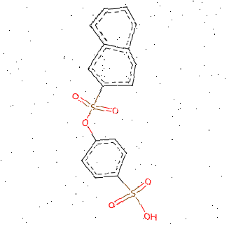 O=S(=O)(O)c1ccc(OS(=O)(=O)c2ccc3ccccc3c2)cc1